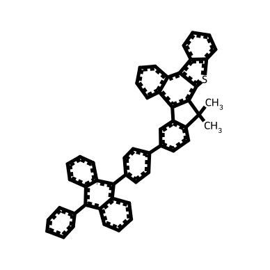 CC1(C)c2ccc(-c3ccc(-c4c5ccccc5c(-c5ccccc5)c5ccccc45)cc3)cc2-c2c1c1sc3ccccc3c1c1ccccc21